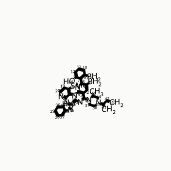 Bc1cc2c(nc1-c1c(B)cccc1O)N(c1c(SC)ccnc1-n1nnc3ccccc31)C(=C)N=C2N1CCN(C(=C)C=C)CC1C